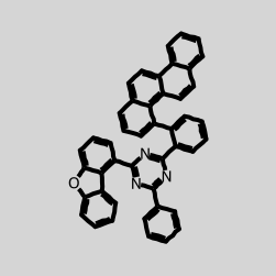 c1ccc(-c2nc(-c3ccccc3-c3cccc4ccc5c6ccccc6ccc5c34)nc(-c3cccc4oc5ccccc5c34)n2)cc1